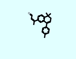 C/C(=C/C=O)c1ccc2c(c1)C(c1ccc(C)cc1)=CCC2(C)C